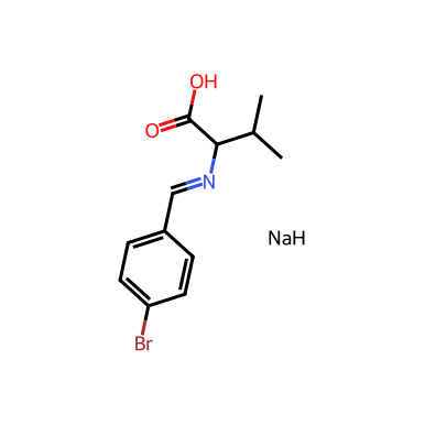 CC(C)C(N=Cc1ccc(Br)cc1)C(=O)O.[NaH]